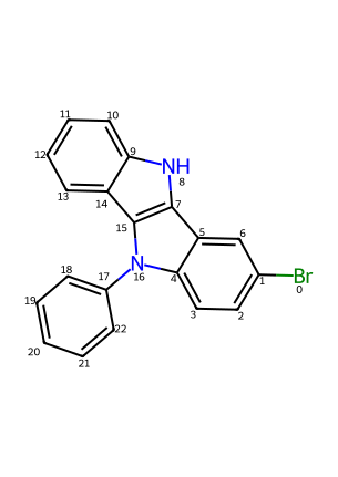 Brc1ccc2c(c1)c1[nH]c3ccccc3c1n2-c1ccccc1